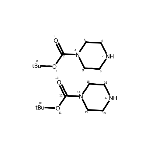 CC(C)(C)OC(=O)N1CCNCC1.CC(C)(C)OC(=O)N1CCNCC1